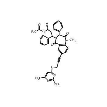 Cc1cc(OCC#Cc2ccc3c(c2)C(=O)N(C(CC(=O)OC(=O)C(F)(F)F)c2ccccc2)C(c2ccccc2)C(=O)N3C)nc(N)n1